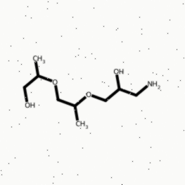 CC(CO)OCC(C)OCC(O)CN